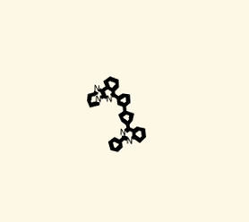 c1ccc(-c2nc(-c3ccc(-c4cccc(-c5nc6c(nc7ccccn76)c6ccccc56)c4)cc3)c3ccccc3n2)cc1